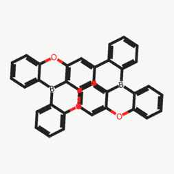 c1ccc2c(c1)Oc1ccccc1B2c1ccccc1-c1cc2c3c(c1)Oc1ccccc1B3c1ccccc1O2